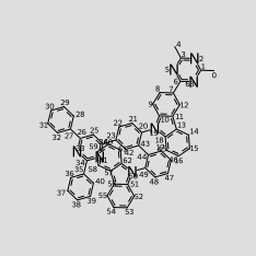 Cc1nc(C)nc(-c2ccc3c(c2)c2ccccc2n3-c2ccc(-c3cc(-c4ccccc4)nc(-c4ccccc4)n3)cc2-c2ccccc2-n2c3ccccc3c3ccccc32)n1